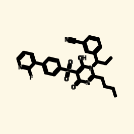 CCCCc1nc(=O)c(S(=O)(=O)c2ccc(-c3cccnc3F)cc2)c(O)n1C(CC)c1cccc(C#N)c1